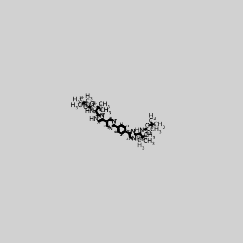 CC(C)(C)OC(=O)N[C@H](c1nc(-c2ccc(-c3ncc(-c4c[nH]c([C@@H](NC(=O)OC(C)(C)C)C(C)(C)C)n4)cn3)cc2)c[nH]1)C(C)(C)C